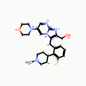 CN1CCC(c2c(F)cccc2Cc2c(CO)nc3ncc(N4CCOCC4)cn23)CC1